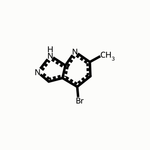 Cc1cc(Br)c2cn[nH]c2n1